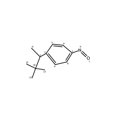 CC(c1ccc(N=O)cc1)C(C)(C)C